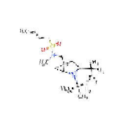 C=CCCS(=O)(=O)N(C)C[C@@]12CC(C(C)(C)C)N(C(C)(C)C)C1C2